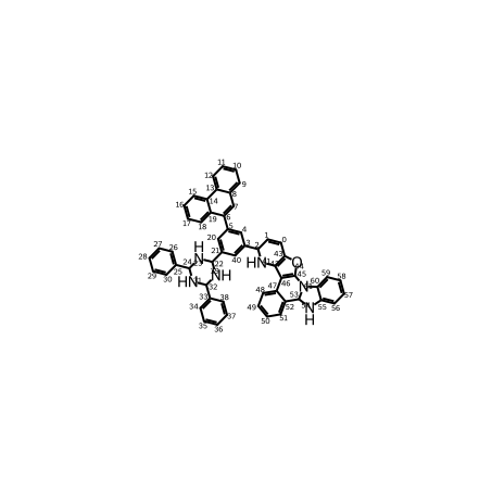 C1=CC(c2cc(-c3cc4ccccc4c4ccccc34)cc(C3NC(c4ccccc4)NC(c4ccccc4)N3)c2)Nc2c1oc1c2-c2ccccc2C2Nc3ccccc3N12